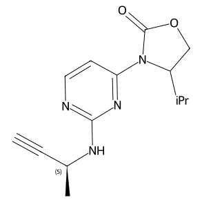 C#C[C@H](C)Nc1nccc(N2C(=O)OCC2C(C)C)n1